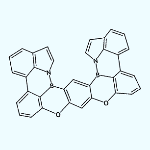 c1cc2c3c(c1)-c1cccc4ccn(c14)B3c1cc3c(cc1O2)Oc1cccc2c1B3n1ccc3cccc-2c31